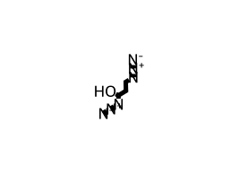 [N-]=[N+]=NCCC(O)N=[N+]=[N-]